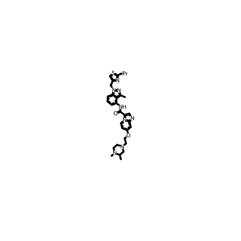 Cc1nn(Cc2csc(C(C)C)n2)c2cccc(NC(=O)c3cnc4cc(OCCN5CCN(C)C(C)C5)ccn34)c12